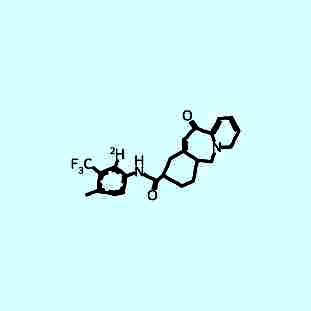 [2H]c1c(NC(=O)C2CCC3CN4CC=CC=C4C(=O)C=C3C2)ccc(C)c1C(F)(F)F